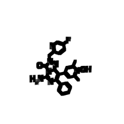 Cc1cc(-c2c(-c3ccccc3)nc(N)n3c(=O)n(Cc4ccc(F)cn4)nc23)cc(C)[n+]1O